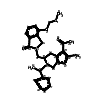 COCOc1cccc2c1CN(CC1Cc3c(sc(N)c3C(=O)O)CN1C(C)c1ccccc1)C2=O